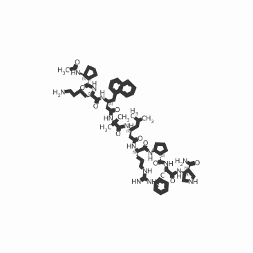 CC(=O)N[C@H]1CCC[C@@H]1C(=O)N[C@@H](CCCCN)C(=O)N[C@H](CC(=O)NC(C)(C)C(=O)N[C@H](CC(=O)N[C@@H](CCCNC(=N)N)C(=O)N[C@H]1CCC[C@@H]1C(=O)N[C@@H](Cc1ccccc1)C(=O)N[C@H]1CNC[C@@H]1C(N)=O)CC(C)C)Cc1cccc2ccccc12